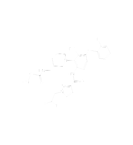 CC(C)(C)OC(=O)NC[C@@H]1CCCN(c2c(NC(=O)c3ccn(CC(F)F)n3)ccc(Oc3ccccc3F)c2C(F)(F)F)C1